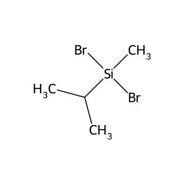 CC(C)[Si](C)(Br)Br